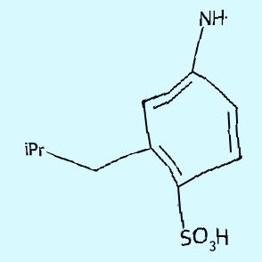 CC(C)Cc1cc([NH])ccc1S(=O)(=O)O